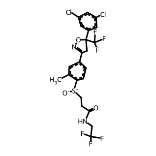 Cc1cc(C2=NOC(c3cc(Cl)cc(Cl)c3)(C(F)(F)F)C2)ccc1[S+]([O-])CCC(=O)NCC(F)(F)F